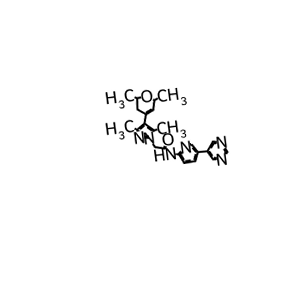 Cc1nn(CC(=O)Nc2ccc(-c3cncnc3)cn2)c(C)c1C1=CC(C)OC(C)C1